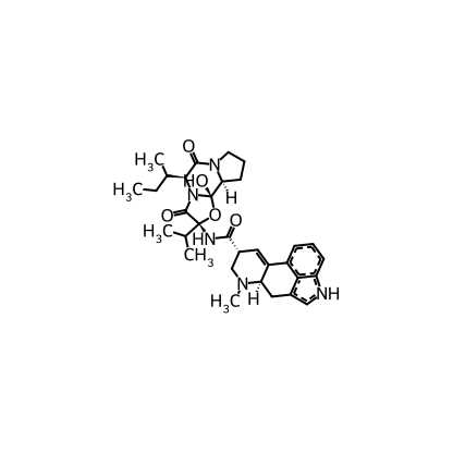 CCC(C)[C@H]1C(=O)N2CCC[C@H]2[C@]2(O)O[C@](NC(=O)[C@@H]3C=C4c5cccc6[nH]cc(c56)C[C@H]4N(C)C3)(C(C)C)C(=O)N12